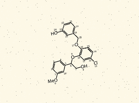 COc1cccc(C(CO)Oc2cc(Cl)ccc2OCc2cccc(O)c2)c1